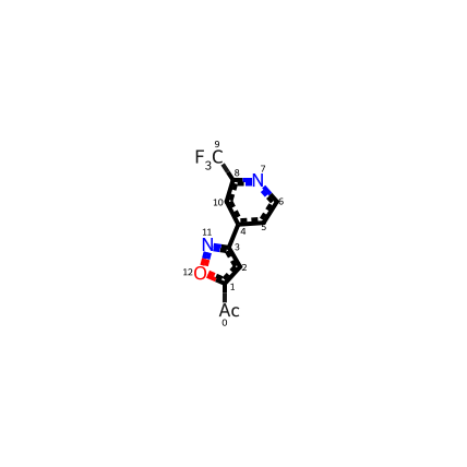 CC(=O)c1cc(-c2ccnc(C(F)(F)F)c2)no1